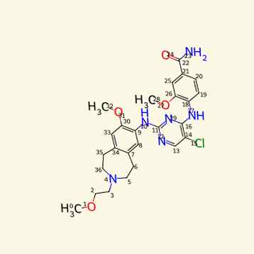 COCCN1CCc2cc(Nc3ncc(Cl)c(Nc4ccc(C(N)=O)cc4OC)n3)c(OC)cc2CC1